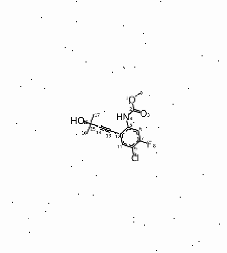 COC(=O)Nc1cc(F)c(Cl)cc1C#CC(C)(C)O